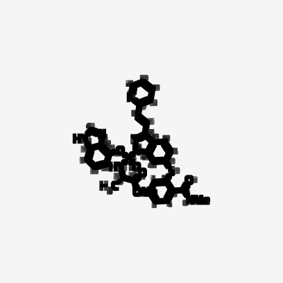 CNC(=O)c1ccccc1Sc1ccc2c(/C=C/c3ccccn3)nn(P(=O)(N[C@@H](C)C(=O)OC)Oc3cccc4[nH]cnc34)c2c1